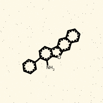 Nc1c(-c2ccccc2)ccc2c1oc1cc3ccccc3cc12